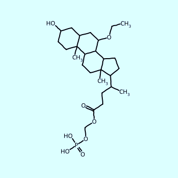 CCOC1CC2CC(O)CCC2(C)C2CCC3(C)C(C(C)CCC(=O)OCOP(=O)(O)O)CCC3C12